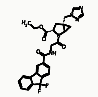 CCOC(=O)[C@@H]1C[C@@]2(Cn3cncn3)CC2N1C(=O)CNC(=O)c1ccc2c(c1)-c1ccccc1C2(F)F